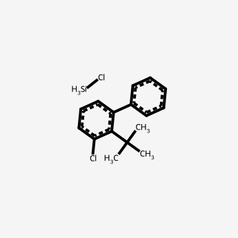 CC(C)(C)c1c(Cl)cccc1-c1ccccc1.[SiH3]Cl